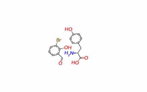 N[C@@H](Cc1ccc(O)cc1)C(=O)O.O=Cc1cccc(Br)c1O